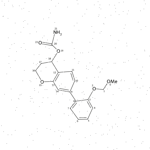 COCOc1ccccc1-c1ccc2c(c1)OCCC2OC(N)=O